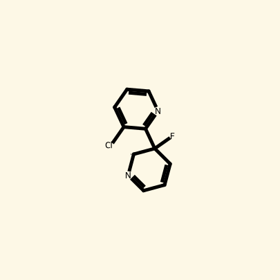 FC1(c2ncccc2Cl)[CH]N=CC=C1